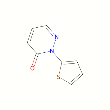 O=c1cccnn1-c1cccs1